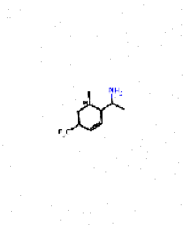 CC(N)C1C=CC(C(F)(F)F)C[C@H]1C